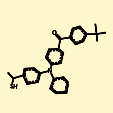 CC(S)c1ccc(N(c2ccccc2)c2ccc(C(=O)c3ccc(C(C)(C)C)cc3)cc2)cc1